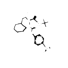 C[C@@H](CC1CCCCC1)N(NC(=O)Oc1ccc([N+](=O)[O-])cc1)C(=O)OC(C)(C)C